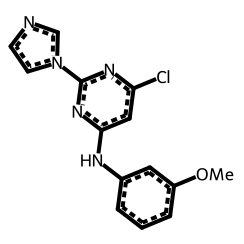 COc1cccc(Nc2cc(Cl)nc(-n3ccnc3)n2)c1